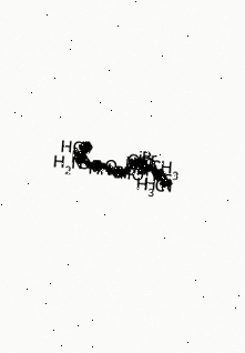 Cc1ncsc1-c1ccc([C@H](C)NC(=O)[C@@H]2C[C@@H](O)CN2C(=O)[C@@H](c2cc(OCCN3CCC(CC(=O)NCc4ccc(CCOc5cc(-c6ccccc6O)nnc5N)cc4)CC3)no2)C(C)C)cc1